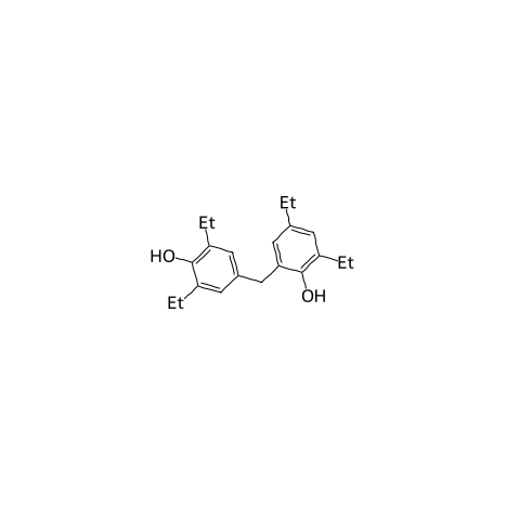 CCc1cc(CC)c(O)c(Cc2cc(CC)c(O)c(CC)c2)c1